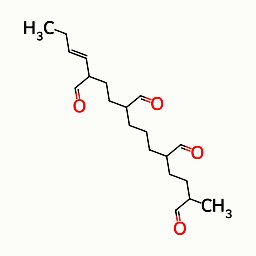 CCC=CC(C=O)CCC(C=O)CCCC(C=O)CCC(C)C=O